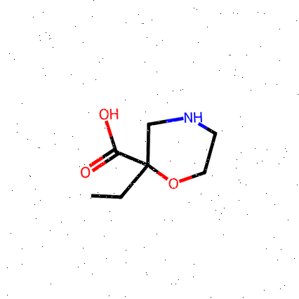 CCC1(C(=O)O)CNCCO1